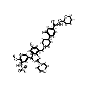 COc1ncc(-c2nc(N3CCOCC3)nc3c(CN4CCC(c5ccc(C(=O)NOC6CCCCO6)cc5F)CC4)cc(F)cc23)cc1NS(C)(=O)=O